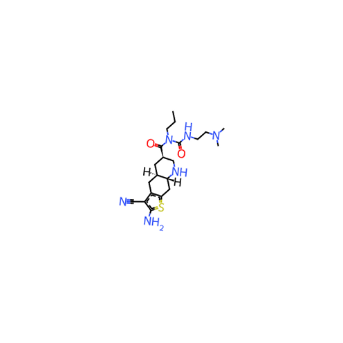 CCCN(C(=O)NCCN(C)C)C(=O)[C@H]1CN[C@@H]2Cc3sc(N)c(C#N)c3C[C@H]2C1